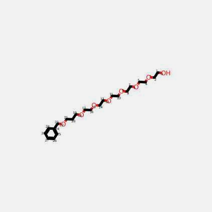 OCCOCCOCCOCCOCCOCCOCCCOCc1ccccc1